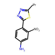 CC(C)c1nnc(-c2ccc(N)cc2[N+](=O)[O-])s1